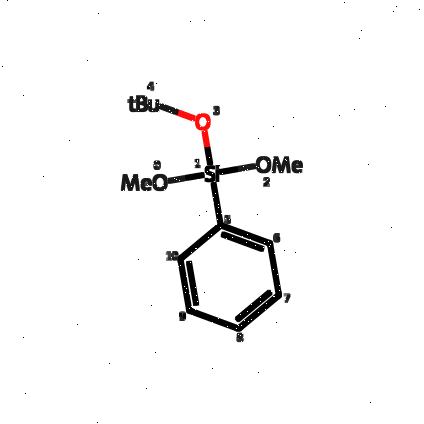 CO[Si](OC)(OC(C)(C)C)c1ccccc1